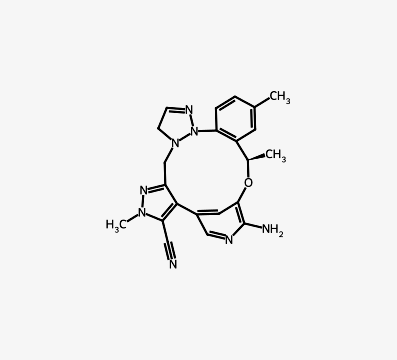 Cc1ccc2c(c1)[C@@H](C)Oc1cc(cnc1N)-c1c(nn(C)c1C#N)CN1CC=NN21